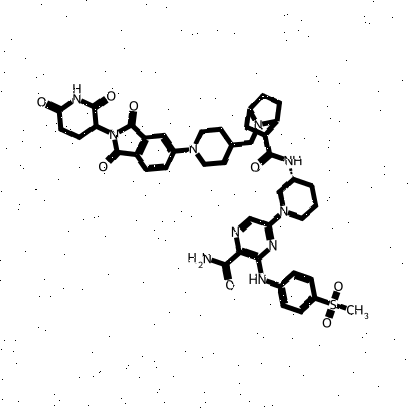 CS(=O)(=O)c1ccc(Nc2nc(N3CCC[C@@H](NC(=O)C4CC5CCC4N5CC4CCN(c5ccc6c(c5)C(=O)N(C5CCC(=O)NC5=O)C6=O)CC4)C3)cnc2C(N)=O)cc1